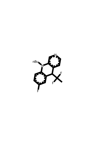 CCCCN1c2ccc(F)cc2C(C(C)(F)F)c2ccncc21